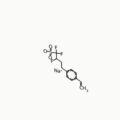 C=Cc1ccc(CCC(F)C(F)(F)S(=O)(=O)[O-])cc1.[Na+]